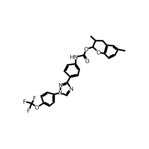 Cc1ccc2c(c1)CC(C)C(OC(=O)Nc1ccc(-c3ncn(-c4ccc(OC(F)(F)F)cc4)n3)cc1)O2